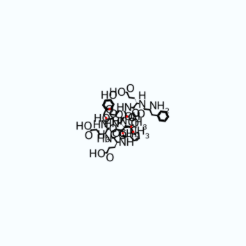 CC[C@H](C)[C@H](NC(=O)[C@H](CCC(=O)O)NC(=O)[C@H](CCC(=O)O)NC(=O)[C@@H](N)Cc1ccccc1)C(=O)N1CCC[C@H]1C(=O)N[C@@H](CCC(=O)O)C(=O)N[C@@H](CCC(=O)O)C(=O)N[C@@H](Cc1ccc(O)cc1)C(=O)N[C@@H](CC(C)C)C(=O)O